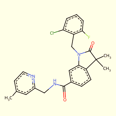 Cc1ccnc(CNC(=O)c2ccc3c(c2)N(Cc2c(F)cccc2Cl)C(=O)C3(C)C)c1